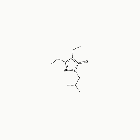 CCc1[nH]n(CC(C)C)c(=O)c1CC